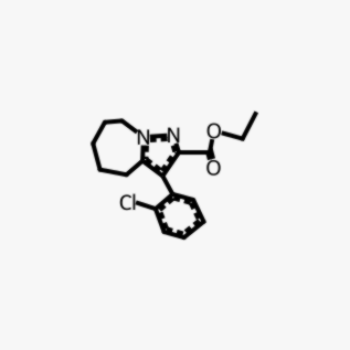 CCOC(=O)c1nn2c(c1-c1ccccc1Cl)CCCCC2